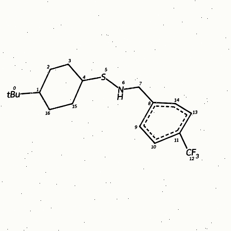 CC(C)(C)C1CCC(SNCc2ccc(C(F)(F)F)cc2)CC1